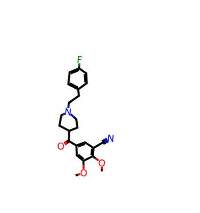 COc1cc(C(=O)C2CCN(CCc3ccc(F)cc3)CC2)cc(C#N)c1OC